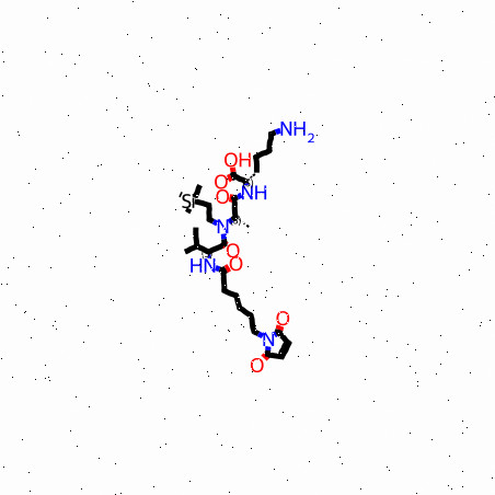 CC(C)[C@H](NC(=O)CCCCCN1C(=O)C=CC1=O)C(=O)N(CC[Si](C)(C)C)[C@@H](C)C(=O)N[C@@H](CCCCN)C(=O)O